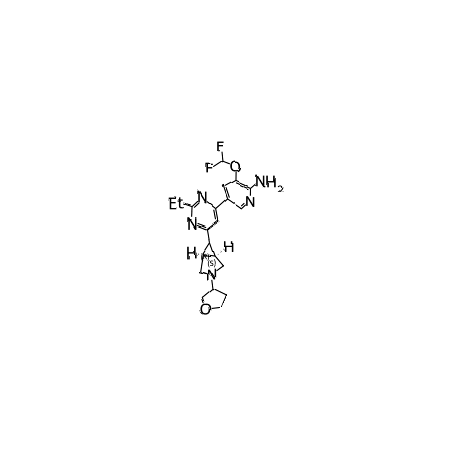 CCc1nc(-c2cnc(N)c(OC(F)F)c2)cc(C2[C@H]3CN(C4CCOC4)C[C@@H]23)n1